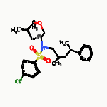 CC(C)C[C@H](CO)N(CC(C)CC(C)c1ccccc1)S(=O)(=O)c1ccc(Cl)cc1